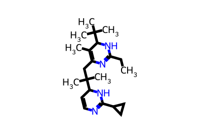 CCC1=NC(CC(C)(C)C2C=CN=C(C3CC3)N2)=C(C)C(C(C)(C)C)N1